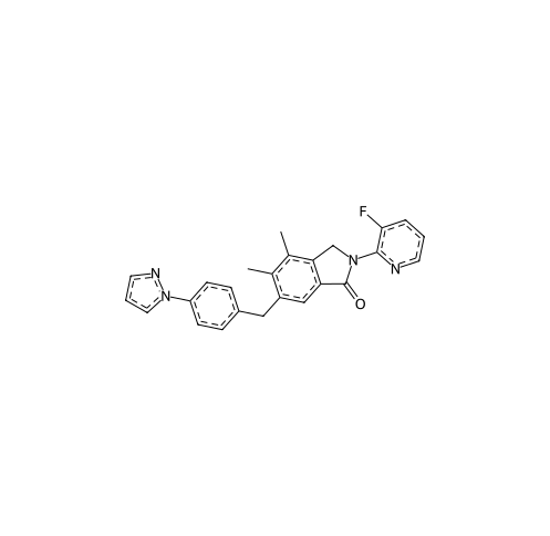 Cc1c(Cc2ccc(-n3cccn3)cc2)cc2c(c1C)CN(c1ncccc1F)C2=O